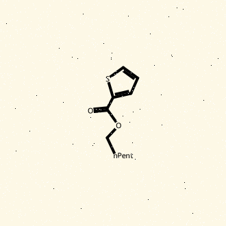 CCCCCCOC(=O)c1cccs1